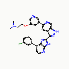 CN(C)CCOc1cncc(-c2cc3c(-c4nc5c(-c6cccc(F)c6)ccnc5[nH]4)n[nH]c3cn2)c1